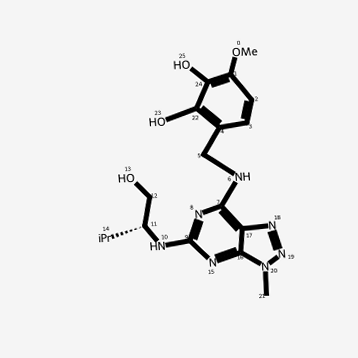 COc1ccc(CNc2nc(N[C@@H](CO)C(C)C)nc3c2nnn3C)c(O)c1O